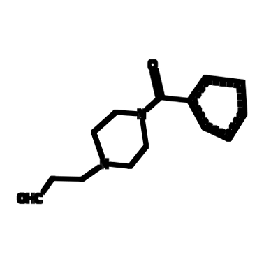 O=CCCN1CCN(C(=O)c2ccccc2)CC1